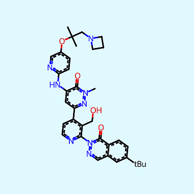 Cn1nc(-c2ccnc(-n3ncc4cc(C(C)(C)C)ccc4c3=O)c2CO)cc(Nc2ccc(OC(C)(C)CN3CCC3)cn2)c1=O